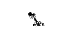 CC(C)(C)N(CCCCCNC(=S)NC(=O)c1ccccc1)C(=O)O